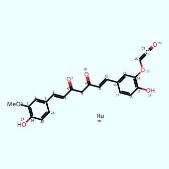 COc1cc(C=CC(=O)CC(=O)C=Cc2ccc(O)c(OC=C=O)c2)ccc1O.[Ru]